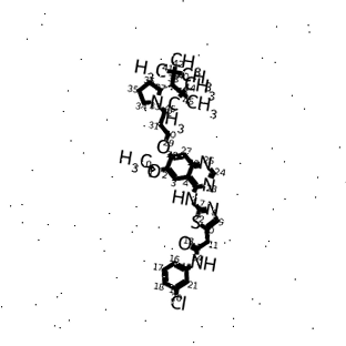 COc1cc2c(Nc3ncc(CC(=O)Nc4cccc(Cl)c4)s3)ncnc2cc1OCCCN1CCC[C@@H]1[C](C(C)(C)C)C(C)(C)C